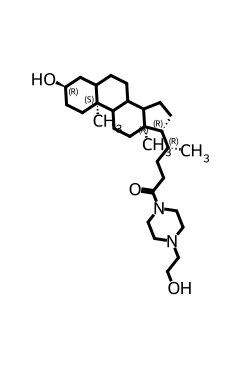 C[C@H](CCC(=O)N1CCN(CCO)CC1)[C@H]1CCC2C3CCC4C[C@H](O)CC[C@]4(C)C3CC[C@@]21C